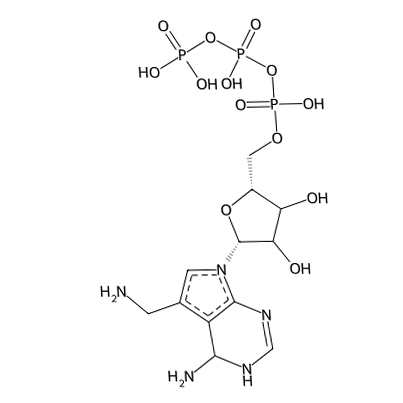 NCc1cn([C@@H]2O[C@H](COP(=O)(O)OP(=O)(O)OP(=O)(O)O)C(O)C2O)c2c1C(N)NC=N2